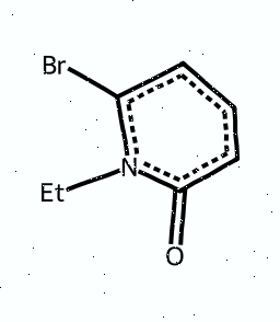 CCn1c(Br)cccc1=O